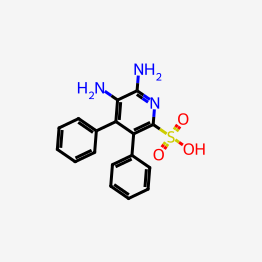 Nc1nc(S(=O)(=O)O)c(-c2ccccc2)c(-c2ccccc2)c1N